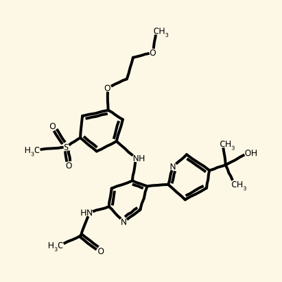 COCCOc1cc(Nc2cc(NC(C)=O)ncc2-c2ccc(C(C)(C)O)cn2)cc(S(C)(=O)=O)c1